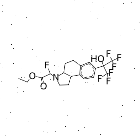 CCOC(=O)C(F)N1CCC2c3ccc(C(O)(C(F)(F)F)C(F)(F)F)cc3CCC21